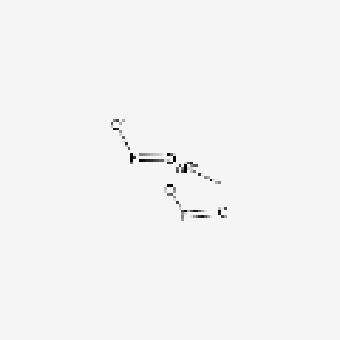 O=P[O-].O=P[O-].[CH3][Al+2]